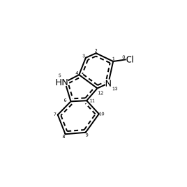 Clc1ccc2[nH]c3ccccc3c2n1